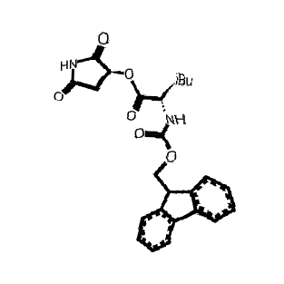 CC[C@H](C)[C@H](NC(=O)OCC1c2ccccc2-c2ccccc21)C(=O)O[C@H]1CC(=O)NC1=O